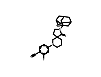 N#Cc1ccc(N2CCCC3(CCN(C45CC6CC(C4)C(O)C(C6)C5)C3=O)C2)cc1F